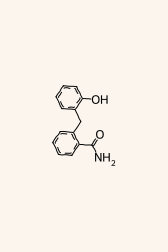 NC(=O)c1ccccc1Cc1ccccc1O